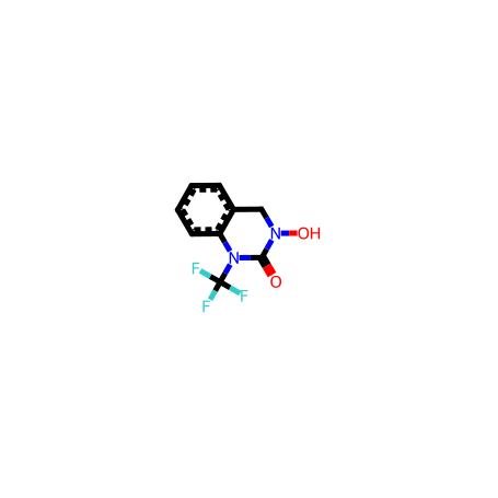 O=C1N(O)Cc2ccccc2N1C(F)(F)F